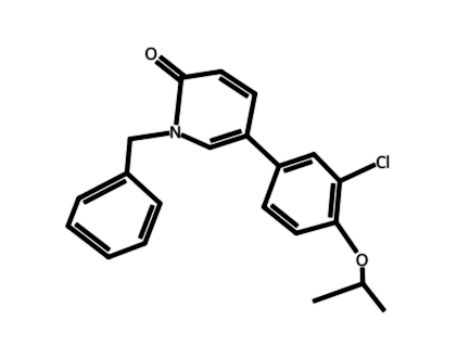 CC(C)Oc1ccc(-c2ccc(=O)n(Cc3ccccc3)c2)cc1Cl